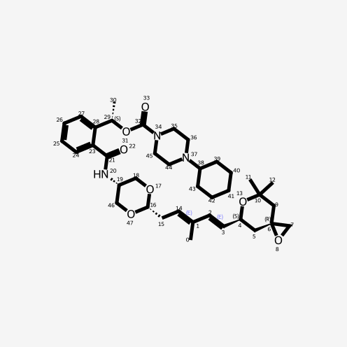 CC(/C=C/[C@@H]1C[C@]2(CO2)CC(C)(C)O1)=C\C[C@H]1OC[C@@H](NC(=O)c2ccccc2[C@H](C)OC(=O)N2CCN(C3CCCCC3)CC2)CO1